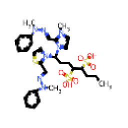 CCCC(C(CCC([n+]1ccsc1C=NN(C)c1ccccc1)[n+]1ccn(C)c1C=NN(C)c1ccccc1)S(=O)(=O)O)S(=O)(=O)O